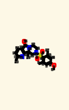 COc1cc(C)c(S(=O)(=O)N2CCN3C(=O)c4ccc(C)nc4C3(C)C2)c(C)c1